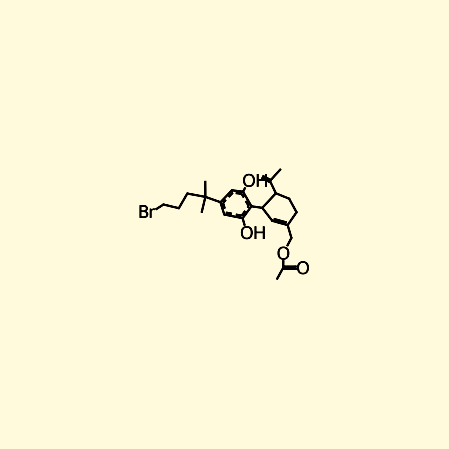 C=C(C)C1CCC(COC(C)=O)=CC1c1c(O)cc(C(C)(C)CCCBr)cc1O